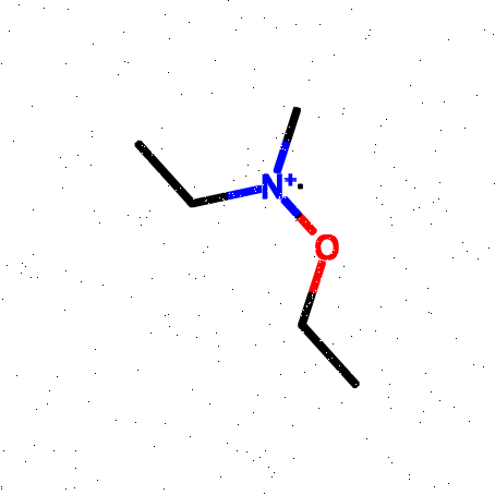 CCO[N+](C)CC